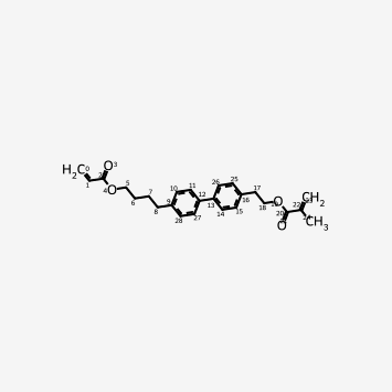 C=CC(=O)OCCCCc1ccc(-c2ccc(CCOC(=O)C(=C)C)cc2)cc1